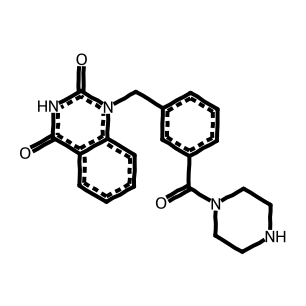 O=C(c1cccc(Cn2c(=O)[nH]c(=O)c3ccccc32)c1)N1CCNCC1